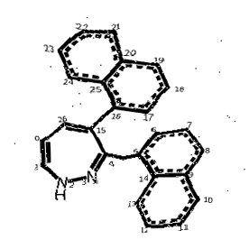 C1=CNN=C(c2cccc3ccccc23)C(c2cccc3ccccc23)=C1